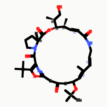 CC1=C\C(O[Si](C)(C)C(C)(C)C)CC(=O)Cc2nc(c([Si](C)(C)C)o2)C(=O)N2CCC[C@@H]2C(=O)O[C@H]([C@H](C)CO)[C@H](C)/C=C/C(=O)NC\C=C\1